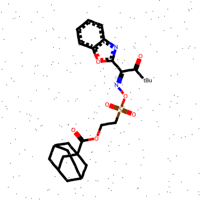 CC(C)(C)C(=O)/C(=N\OS(=O)(=O)CCOC(=O)C12CC3CC(CC(C3)C1)C2)c1nc2ccccc2o1